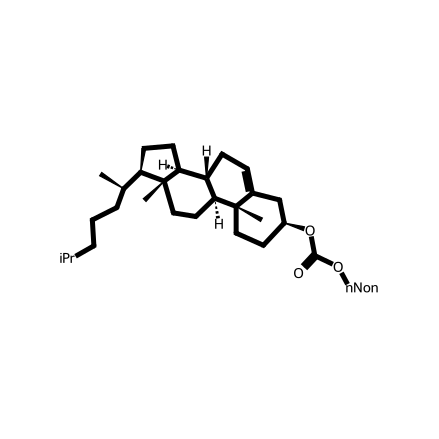 CCCCCCCCCOC(=O)O[C@H]1CC[C@@]2(C)C(=CC[C@H]3[C@@H]4CC[C@H]([C@H](C)CCCC(C)C)[C@@]4(C)CC[C@@H]32)C1